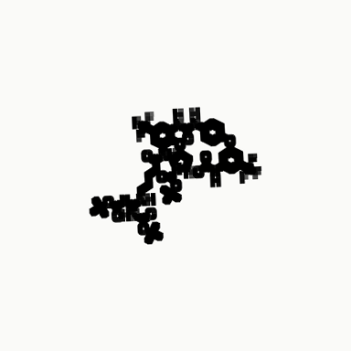 CC(C)(C)OC(=O)N=C(NCCCCC(=O)Nc1cc(C(F)(F)F)cc(NC(=O)Nc2ccc(Oc3cc(NC(=O)O)cc(C(F)(F)F)c3)cc2)c1OC1CCN(C(=O)OC(C)(C)C)C1)NC(=O)OC(C)(C)C